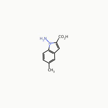 Cc1ccc2c(c1)cc(C(=O)O)n2N